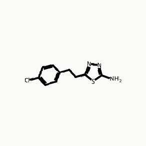 Nc1nnc(CCc2ccc(Cl)cc2)s1